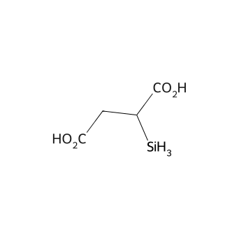 O=C(O)CC([SiH3])C(=O)O